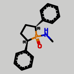 CNP1(=O)[C@@H](c2ccccc2)CC[C@@H]1c1ccccc1